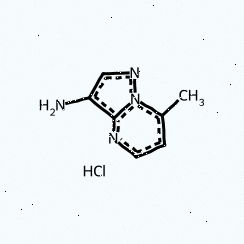 Cc1ccnc2c(N)cnn12.Cl